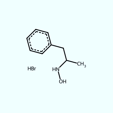 Br.CC(Cc1ccccc1)NO